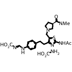 CNC(=O)[C@@H]1CCN(Cc2sc(NC(C)=O)nc2CCc2ccc(NC=NC(=O)O)cc2)C1.NC(=O)O